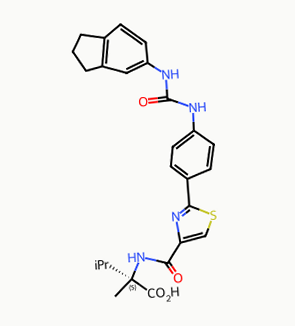 CC(C)[C@](C)(NC(=O)c1csc(-c2ccc(NC(=O)Nc3ccc4c(c3)CCC4)cc2)n1)C(=O)O